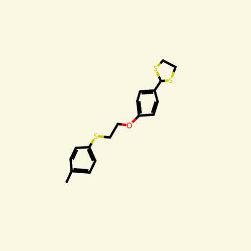 Cc1ccc(SCCOc2ccc(C3SCCS3)cc2)cc1